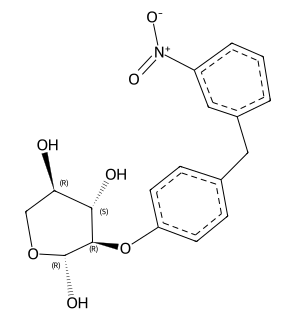 O=[N+]([O-])c1cccc(Cc2ccc(O[C@@H]3[C@@H](O)[C@H](O)CO[C@H]3O)cc2)c1